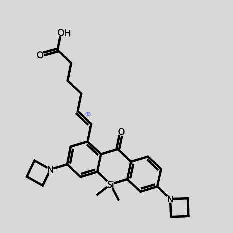 C[Si]1(C)c2cc(N3CCC3)ccc2C(=O)c2c(/C=C/CCCC(=O)O)cc(N3CCC3)cc21